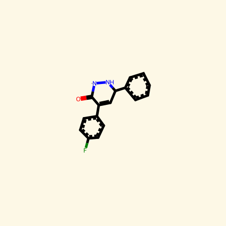 O=C1[N]NC(c2ccccc2)C=C1c1ccc(F)cc1